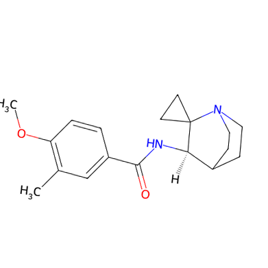 COc1ccc(C(=O)N[C@@H]2C3CCN(CC3)C23CC3)cc1C